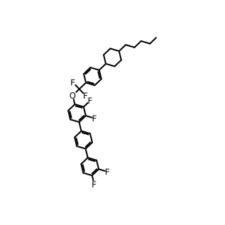 CCCCCC1CCC(c2ccc(C(F)(F)Oc3ccc(-c4ccc(-c5ccc(F)c(F)c5)cc4)c(F)c3F)cc2)CC1